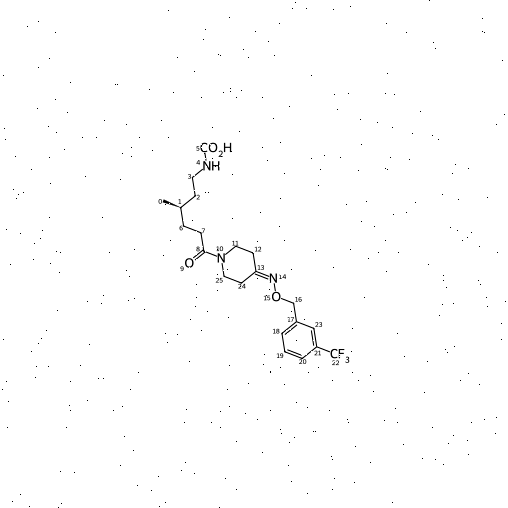 C[C@@H](CCNC(=O)O)CCC(=O)N1CCC(=NOCc2cccc(C(F)(F)F)c2)CC1